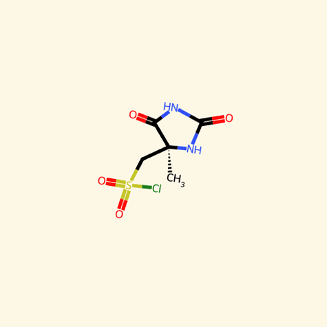 C[C@@]1(CS(=O)(=O)Cl)NC(=O)NC1=O